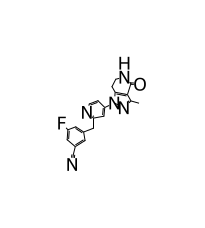 Cc1nn(-c2ccnc(Cc3cc(F)cc(C#N)c3)c2)c2c1C(=O)NCC2